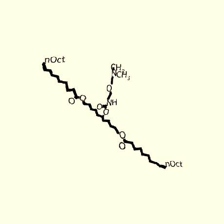 CCCCCCCC/C=C\CCCCCCCC(=O)OCCCCCC(CCCCCOC(=O)CCCCCCC/C=C\CCCCCCCC)OC(=O)NCCOCCN(C)C